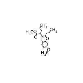 C=CCC(=O)N(Cc1ccc(OC)cc1)[C@H](CC=C)C(=O)OC